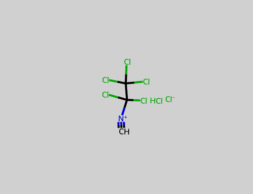 C#[N+]C(Cl)(Cl)C(Cl)(Cl)Cl.Cl.[Cl-]